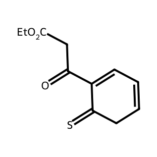 CCOC(=O)CC(=O)C1=CC=CCC1=S